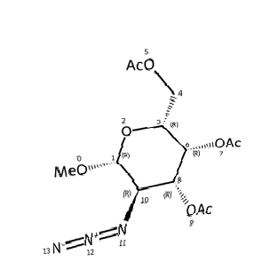 CO[C@@H]1O[C@H](COC(C)=O)[C@H](OC(C)=O)[C@H](OC(C)=O)[C@H]1N=[N+]=[N-]